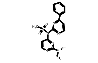 C[S+]([O-])c1nccc(N(c2nccc(-c3ccccc3)n2)S(C)(=O)=O)n1